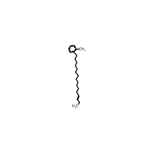 CCC=CCCCCCCCCCCCCc1ccccc1C